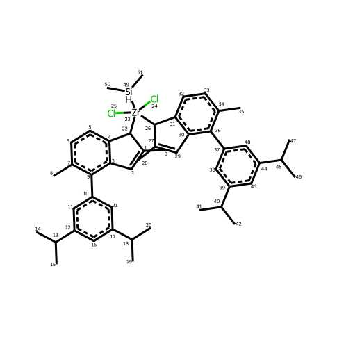 CC1=Cc2c(ccc(C)c2-c2cc(C(C)C)cc(C(C)C)c2)[CH]1[Zr]([Cl])([Cl])([CH]1C(C)=Cc2c1ccc(C)c2-c1cc(C(C)C)cc(C(C)C)c1)[SiH](C)C